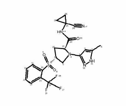 Cc1cc(N2C[C@H](S(=O)(=O)c3ccccc3C(F)(F)F)C[C@H]2C(=O)NC2(C#N)CC2)n[nH]1